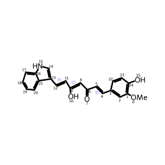 COc1cc(/C=C/C(=O)/C=C(O)/C=C/c2c[nH]c3ccccc23)ccc1O